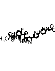 CCN(C)S(=O)(=O)Nc1ccc(F)c(C(=O)c2c[nH]c3ncc(-c4ccc(N5CCC(NCC(=O)O)CC5)nc4)cc23)c1F